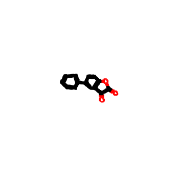 O=C1Oc2ccc(-c3ccccc3)cc2C1=O